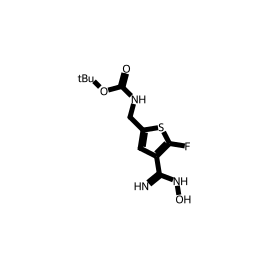 CC(C)(C)OC(=O)NCc1cc(C(=N)NO)c(F)s1